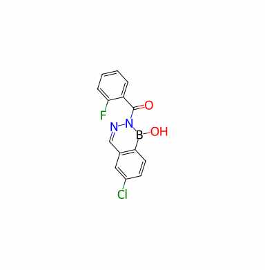 O=C(c1ccccc1F)N1N=Cc2cc(Cl)ccc2B1O